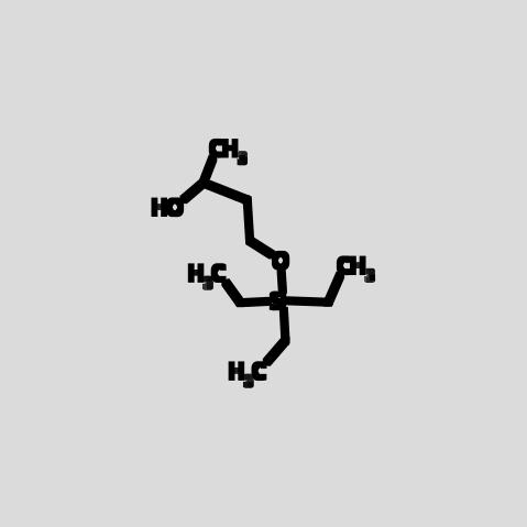 CC[Si](CC)(CC)OCCC(C)O